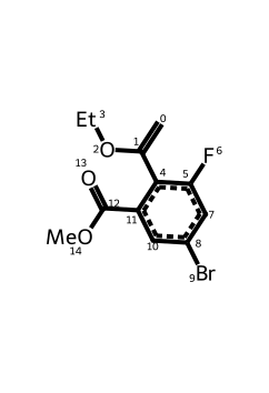 C=C(OCC)c1c(F)cc(Br)cc1C(=O)OC